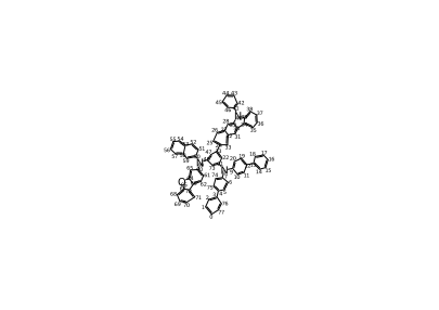 c1ccc(-c2ccc(N(c3ccc(-c4ccccc4)cc3)c3cc(-c4ccc5cc6c(cc5c4)c4ccccc4n6-c4ccccc4)cc(N(c4ccc5ccccc5c4)c4ccc5c(c4)oc4ccccc45)c3)cc2)cc1